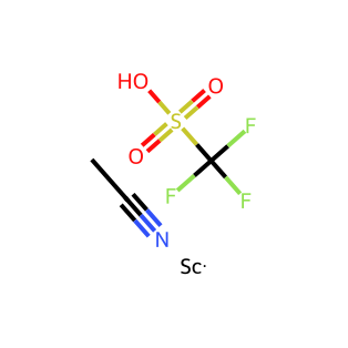 CC#N.O=S(=O)(O)C(F)(F)F.[Sc]